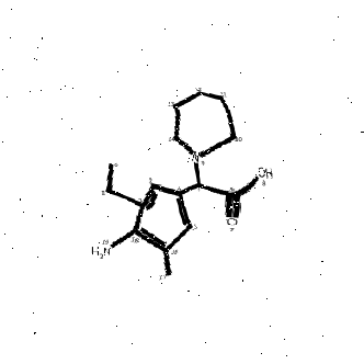 CCc1cc(C(C(=O)O)N2CCCCC2)cc(C)c1N